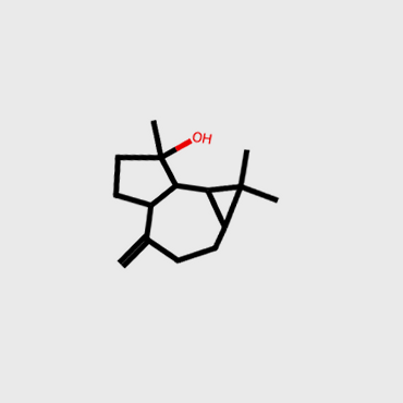 C=C1CCC2C(C3C1CCC3(C)O)C2(C)C